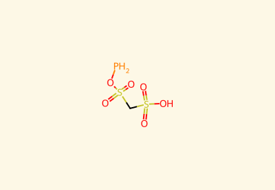 O=S(=O)(O)CS(=O)(=O)OP